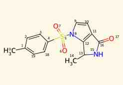 Cc1ccc(S(=O)(=O)n2ccc3c2C(C)NC3=O)cc1